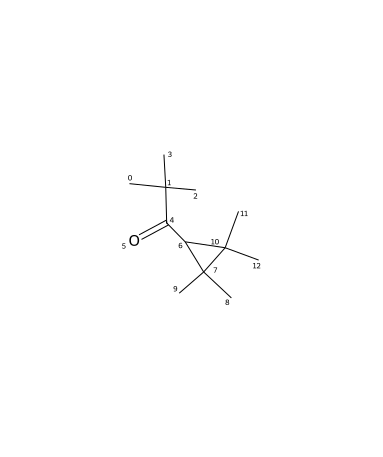 CC(C)(C)C(=O)C1C(C)(C)C1(C)C